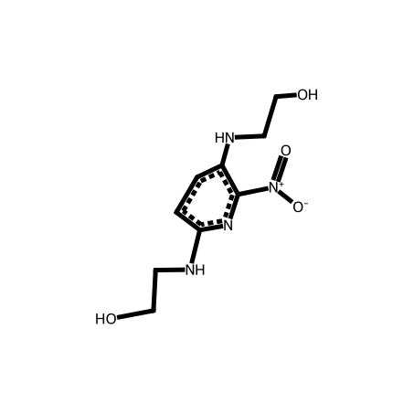 O=[N+]([O-])c1nc(NCCO)ccc1NCCO